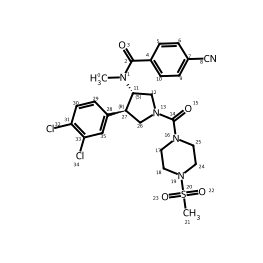 CN(C(=O)c1ccc(C#N)cc1)[C@@H]1CN(C(=O)N2CCN(S(C)(=O)=O)CC2)C[C@H]1c1ccc(Cl)c(Cl)c1